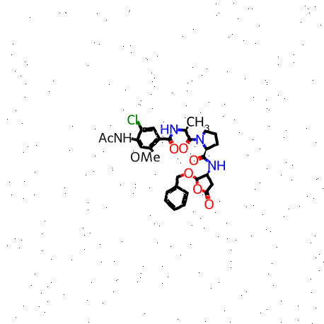 COc1cc(NC(C)=O)c(Cl)cc1C(=O)N[C@@H](C)C(=O)N1CCC[C@H]1C(=O)N[C@H]1CC(=O)OC1OCc1ccccc1